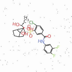 C[C@H](O)[C@H](O)[C@]1(O)C2CCC1C[C@@H](S(=O)(=O)c1cc(C(=O)Nc3ccc(F)c(F)c3)ccc1Cl)C2